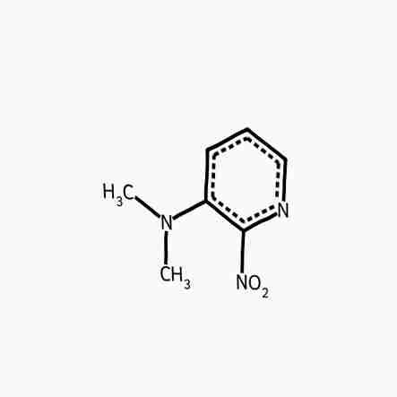 CN(C)c1cccnc1[N+](=O)[O-]